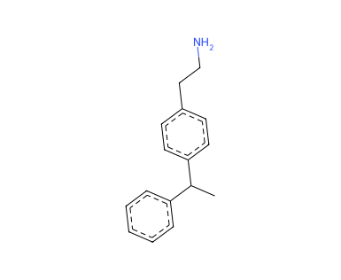 CC(c1ccccc1)c1ccc(CCN)cc1